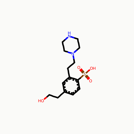 O=S(=O)(O)c1ccc(CCO)cc1CCN1CCNCC1